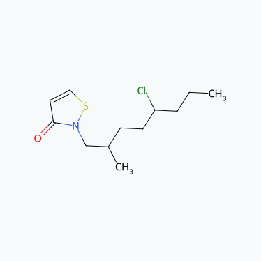 CCCC(Cl)CCC(C)Cn1sccc1=O